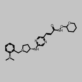 CN(C)c1ccccc1CN1CC[C@@H](Nc2cnc(/C=C/C(=O)NOC3CCCCO3)cn2)C1